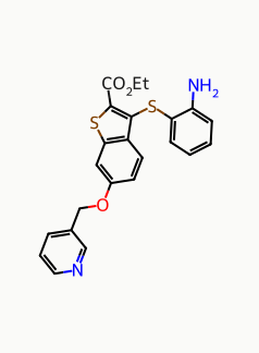 CCOC(=O)c1sc2cc(OCc3cccnc3)ccc2c1Sc1ccccc1N